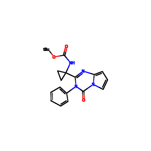 CC(C)(C)OC(=O)NC1(c2nc3cccn3c(=O)n2-c2ccccc2)CC1